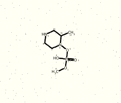 COP(=O)(O)ON1CCNCC1C